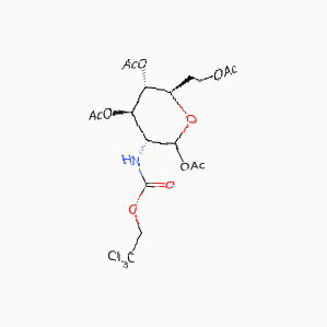 CC(=O)OC[C@H]1OC(OC(C)=O)[C@H](NC(=O)OCC(Cl)(Cl)Cl)[C@@H](OC(C)=O)[C@@H]1OC(C)=O